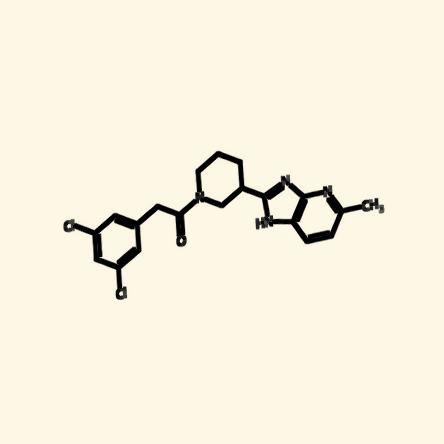 Cc1ccc2[nH]c(C3CCCN(C(=O)Cc4cc(Cl)cc(Cl)c4)C3)nc2n1